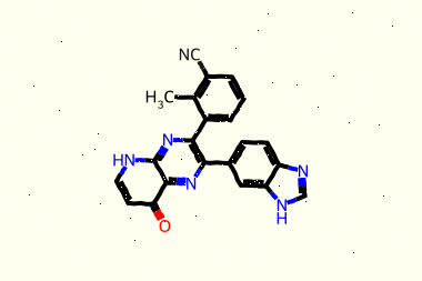 Cc1c(C#N)cccc1-c1nc2[nH]ccc(=O)c2nc1-c1ccc2nc[nH]c2c1